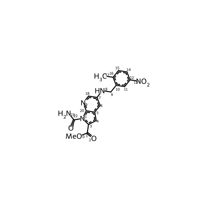 COC(=O)c1cc2cc(NCc3cc([N+](=O)[O-])ccc3C)cnc2n1C(N)=O